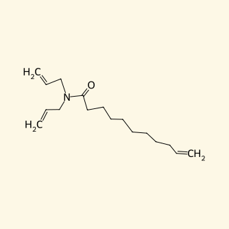 C=CCCCCCCCCC(=O)N(CC=C)CC=C